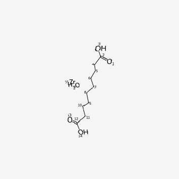 O.O=C(O)CCCCCCCCC(=O)O.[Zr]